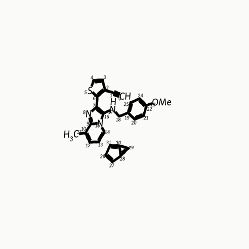 C#Cc1ccsc1-c1nc2c(C)cccn2c1NCc1ccc(OC)cc1.c1cc2cc-2c1